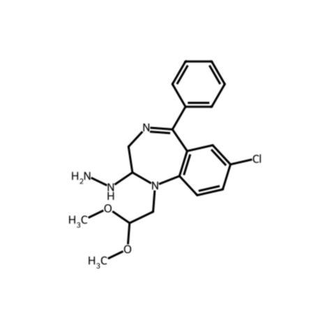 COC(CN1c2ccc(Cl)cc2C(c2ccccc2)=NCC1NN)OC